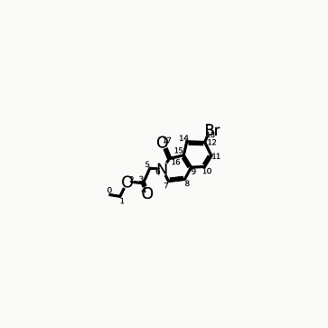 CCOC(=O)Cn1ccc2ccc(Br)cc2c1=O